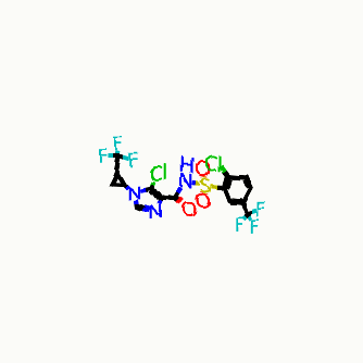 O=C(NS(=O)(=O)c1cc(C(F)(F)F)ccc1Cl)c1ncn(C2CC2C(F)(F)F)c1Cl